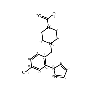 O=C(O)N1CCN(Cc2ccc(Cl)cc2-n2cccn2)CC1